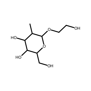 CC1C(OCCO)OC(CO)C(O)C1O